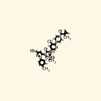 Cc1ccc(-n2nc(C(C)(C)C)cc2N(OS(C)(=O)=O)C(=O)Nc2cnc(N3CCN(C(=O)C4(C)CC4)CC3)c(Cl)c2)cc1